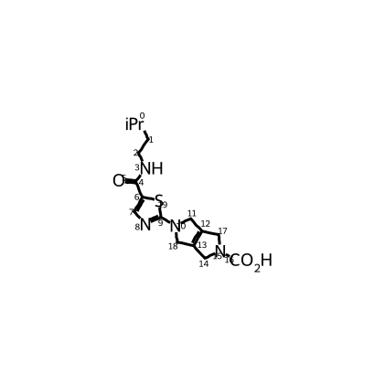 CC(C)CCNC(=O)c1cnc(N2CC3=C(CN(C(=O)O)C3)C2)s1